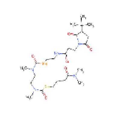 CN(C)C(=O)CCCSC(=O)N(C)CCN(C)C(=O)PCCNC(=O)CCN1C(=O)CC(C(C)(C)C)C1=O